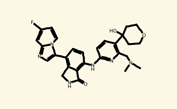 CN(C)Cc1nc(Nc2ccc(-c3cnc4cc(F)ccn34)c3c2C(=O)NC3)ccc1C1(O)CCOCC1